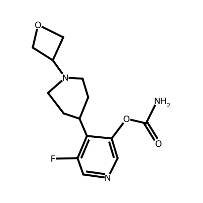 NC(=O)Oc1cncc(F)c1C1CCN(C2COC2)CC1